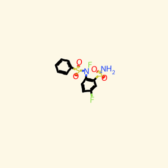 NS(=O)(=O)c1cc(F)ccc1N(F)S(=O)(=O)c1ccccc1